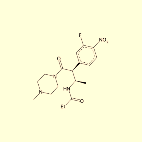 CCC(=O)N[C@H](C)[C@@H](C(=O)N1CCN(C)CC1)c1ccc([N+](=O)[O-])c(F)c1